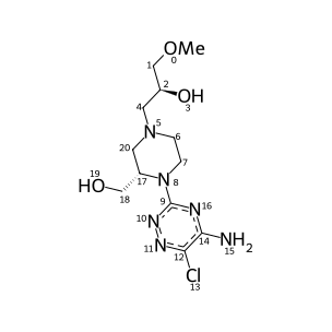 COC[C@@H](O)CN1CCN(c2nnc(Cl)c(N)n2)[C@H](CO)C1